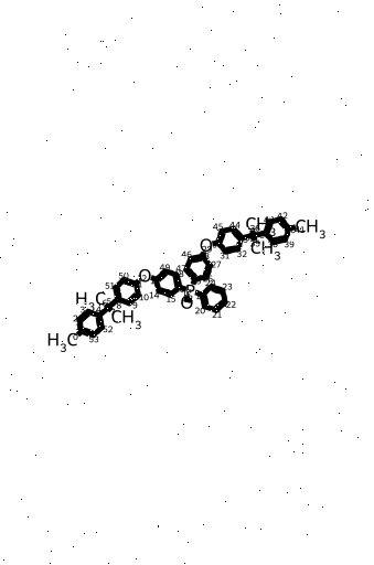 Cc1ccc(C(C)(C)c2ccc(Oc3ccc(P(=O)(c4ccccc4)c4ccc(Oc5ccc(C(C)(C)c6ccc(C)cc6)cc5)cc4)cc3)cc2)cc1